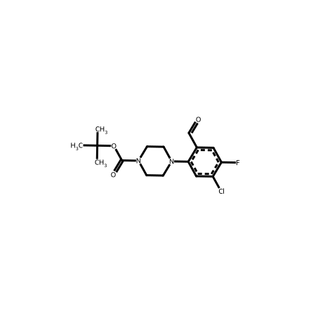 CC(C)(C)OC(=O)N1CCN(c2cc(Cl)c(F)cc2C=O)CC1